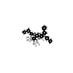 Bc1c(B)c(B)c2c(c1B)c1c(B)c(-c3ccc4c(c3)c3cc(-c5ccccc5)ccc3n4-c3ccc(-c4ccccc4)cc3)c(B)c(B)c1n2-c1ccc(-c2cccc(-c3ccccc3)c2)cc1